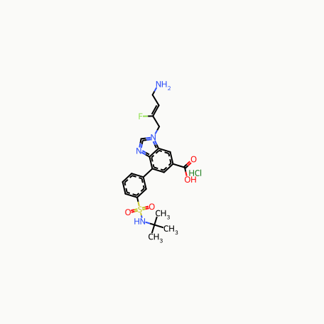 CC(C)(C)NS(=O)(=O)c1cccc(-c2cc(C(=O)O)cc3c2ncn3CC(F)=CCN)c1.Cl